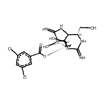 C[C@]1(O)[C@@H](OC(=O)c2cc(Cl)cc(Cl)c2)CN2C(=N)N[C@@H](CO)C3NC(=N)N(O)C321